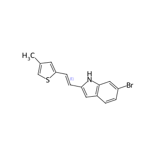 Cc1csc(/C=C/c2cc3ccc(Br)cc3[nH]2)c1